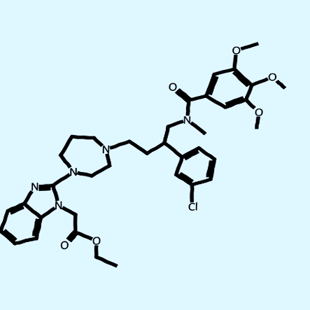 CCOC(=O)Cn1c(N2CCCN(CCC(CN(C)C(=O)c3cc(OC)c(OC)c(OC)c3)c3cccc(Cl)c3)CC2)nc2ccccc21